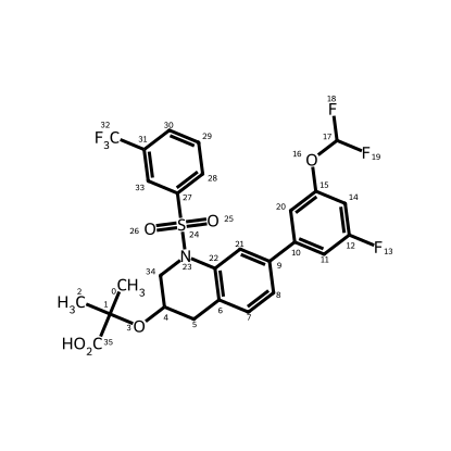 CC(C)(OC1Cc2ccc(-c3cc(F)cc(OC(F)F)c3)cc2N(S(=O)(=O)c2cccc(C(F)(F)F)c2)C1)C(=O)O